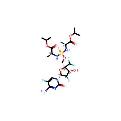 CC(C)OC(=O)[C@H](C)NP(=S)(N[C@@H](C)C(=O)OC(C)C)OC[C@@]1(C(F)F)O[C@@H](n2cc(F)c(N)nc2=O)[C@H](F)[C@@H]1O